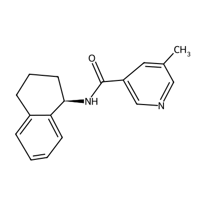 Cc1cncc(C(=O)N[C@@H]2CCCc3ccccc32)c1